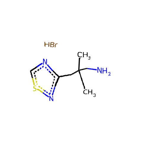 Br.CC(C)(N)c1ncsn1